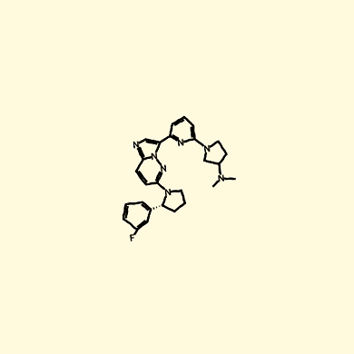 CN(C)C1CCN(c2cccc(-c3cnc4ccc(N5CCC[C@@H]5c5cccc(F)c5)nn34)n2)C1